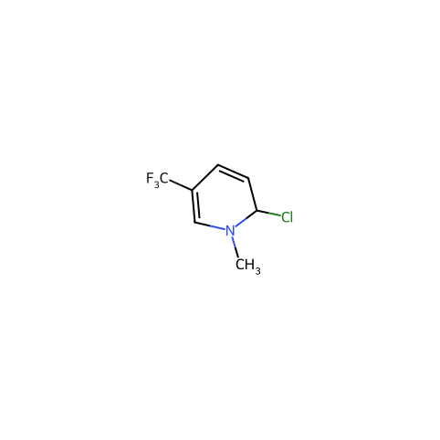 CN1C=C(C(F)(F)F)C=CC1Cl